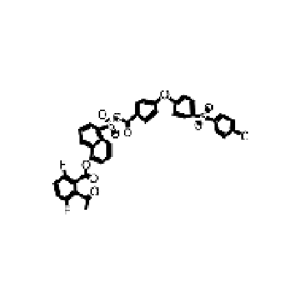 CC(=O)c1c(F)ccc(F)c1C(=O)Oc1cccc2c(S(=O)(=O)OC(=O)c3ccc(Oc4ccc(S(=O)(=O)c5ccc(Cl)cc5)cc4)cc3)cccc12